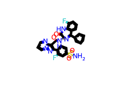 NS(=O)(=O)c1ccc(-c2nn3cccnc3c2C(=O)N[C@H]2N=C(c3ccccc3)c3cccc(F)c3NC2=O)c(F)c1